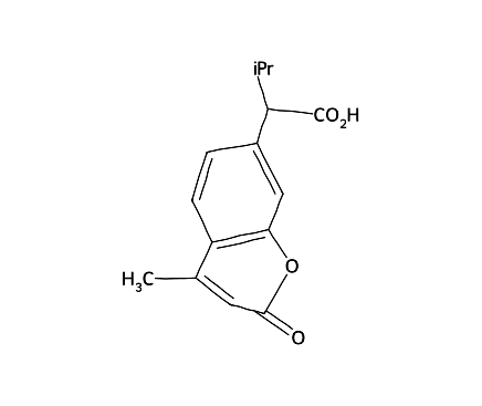 Cc1cc(=O)oc2cc(C(C(=O)O)C(C)C)ccc12